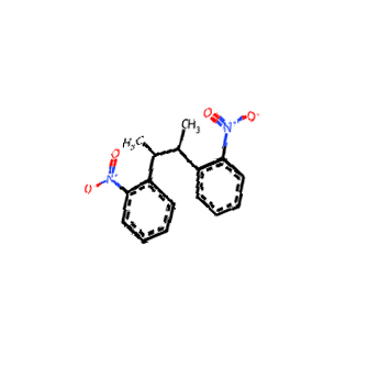 CC(c1ccccc1[N+](=O)[O-])C(C)c1ccccc1[N+](=O)[O-]